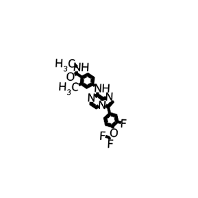 CNC(=O)c1ccc(Nc2nccn3c(-c4ccc(OC(F)F)c(F)c4)cnc23)cc1C